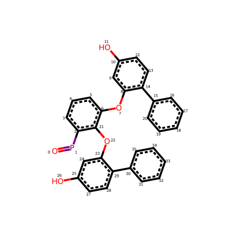 O=Pc1cccc(Oc2cc(O)ccc2-c2ccccc2)c1Oc1cc(O)ccc1-c1ccccc1